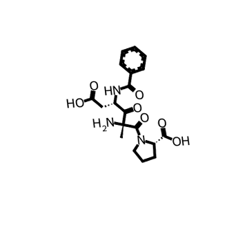 C[C@@](N)(C(=O)[C@H](CC(=O)O)NC(=O)c1ccccc1)C(=O)N1CCC[C@H]1C(=O)O